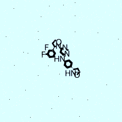 Fc1cccc([C@H]2CCON2c2cc(Nc3ccc([C@@H]4CCON4)cc3)ncn2)c1F